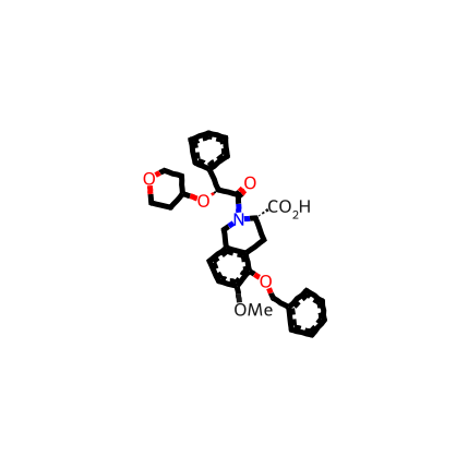 COc1ccc2c(c1OCc1ccccc1)C[C@@H](C(=O)O)N(C(=O)[C@H](OC1CCOCC1)c1ccccc1)C2